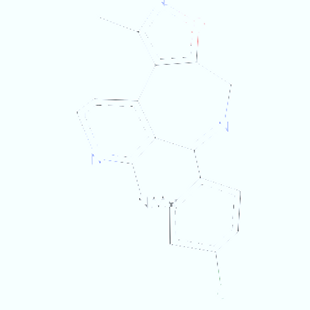 CNc1nccc2c1C(c1ccc(Cl)cc1)=NCc1onc(C)c1-2